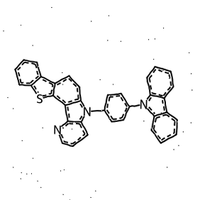 c1ccc2c(c1)sc1c2ccc2c1c1ncccc1n2-c1ccc(-n2c3ccccc3c3ccccc32)cc1